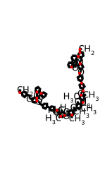 C=Cc1ccc(COc2ccc(OCc3ccc(-c4ccc(COc5c(C)cc(Oc6c(C)cc(C(C)(C)c7cc(C)c(Oc8cc(C)c(OCc9ccc(-c%10ccc(COc%11ccc(OCc%12ccc(C=C)cc%12)c(P%12(=O)Oc%13ccccc%13-c%13ccccc%13%12)c%11)cc%10)cc9)c(C)c8)c(C)c7)cc6C)cc5C)cc4)cc3)c(P3(=O)Oc4ccccc4-c4ccccc43)c2)cc1